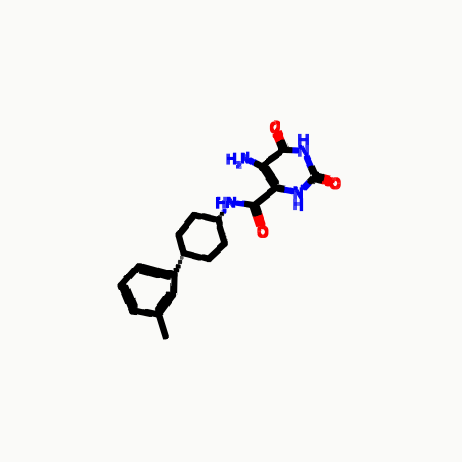 Cc1cccc([C@H]2CC[C@@H](NC(=O)c3[nH]c(=O)[nH]c(=O)c3N)CC2)c1